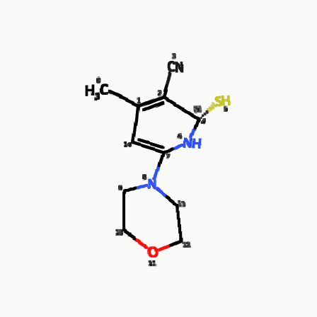 CC1=C(C#N)[C@H](S)NC(N2CCOCC2)=C1